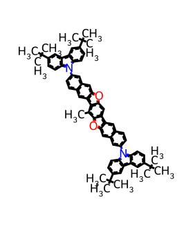 Cc1c2oc3cc4cc(-n5c6ccc(C(C)(C)C)cc6c6cc(C(C)(C)C)ccc65)ccc4cc3c2cc2oc3cc4cc(-n5c6ccc(C(C)(C)C)cc6c6cc(C(C)(C)C)ccc65)ccc4cc3c12